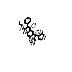 CCCN(C)c1nc2ccc(C(O)(c3ccncc3)c3cncn3C)cc2c(Cl)c1-c1ccccc1